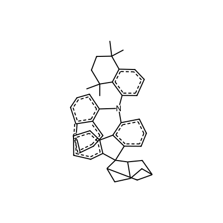 CC1(C)CCC(C)(C)c2c(N(c3cccc4c3-c3ccccc3C43C4CC5CC(C4)C3C5)c3cccc4ccccc34)cccc21